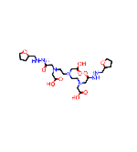 O=C(O)CN(CCN(CC(=O)O)CC(=O)NNCC1CCCO1)CCN(CC(=O)O)CC(=O)NNCC1CCCO1